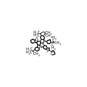 CC(C)(C)c1ccc(N2B3c4cc5cc(-c6ccccc6)sc5cc4-n4c5ccc(C(C)(C)C)cc5c5c6c(oc7ccccc76)c(c3c54)-c3cc4c(cc32)C(C)(C)CCC4(C)C)cc1